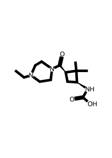 CCN1CCN(C(=O)[C@@H]2C[C@H](NC(=O)O)C2(C)C)CC1